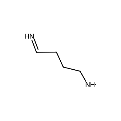 [NH]CCCC=N